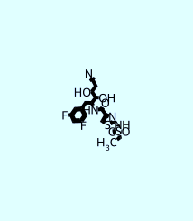 CCS(=O)(=O)Nc1nc(C(=O)NC(Cc2cc(F)cc(F)c2)C(O)C(O)CC#N)cs1